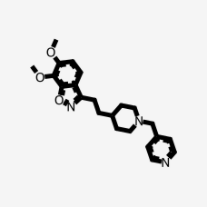 COc1ccc2c(CCC3CCN(Cc4ccncc4)CC3)noc2c1OC